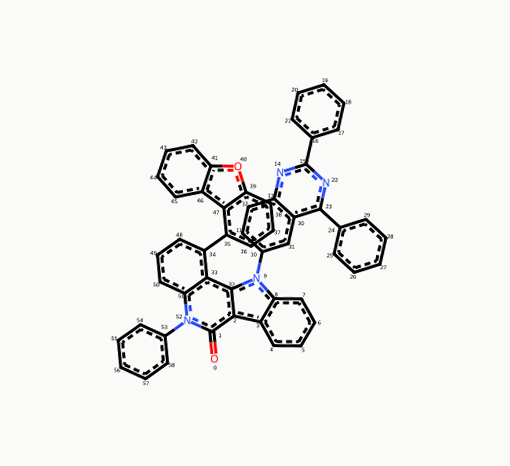 O=c1c2c3ccccc3n(-c3ccc4nc(-c5ccccc5)nc(-c5ccccc5)c4c3)c2c2c(-c3cccc4oc5ccccc5c34)cccc2n1-c1ccccc1